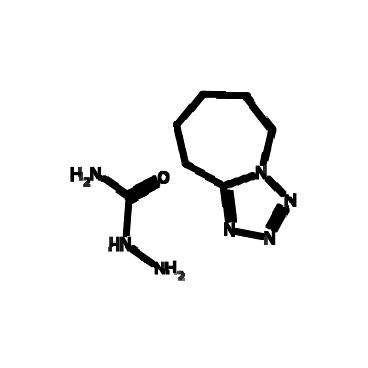 C1CCc2nnnn2CC1.NNC(N)=O